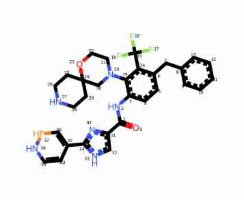 O=C(Nc1ccc(Cc2ccccc2)c(C(F)(F)F)c1N1CCOC2(CCNCC2)C1)c1c[nH]c(C2=CPNC=C2)n1